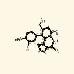 CCCc1ccc(-c2c(CO)cc(Cl)c3[nH]c(=O)c4sccc4c23)cc1F